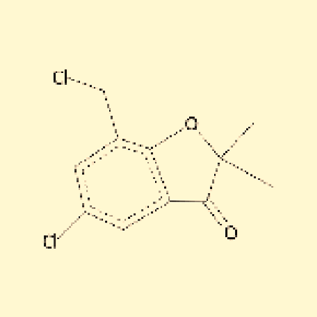 CC1(C)Oc2c(CCl)cc(Cl)cc2C1=O